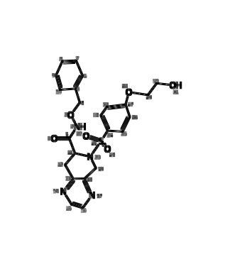 O=C(NOCc1ccccc1)C1Cc2nccnc2CN1S(=O)(=O)c1ccc(OCCO)cc1